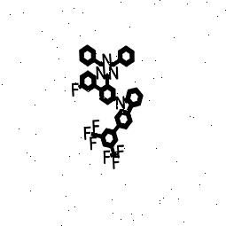 Fc1cccc(-c2ccc(-n3c4ccccc4c4ccc(-c5cc(C(F)(F)F)cc(C(F)(F)F)c5)cc43)cc2-c2nc(-c3ccccc3)nc(-c3ccccc3)n2)c1